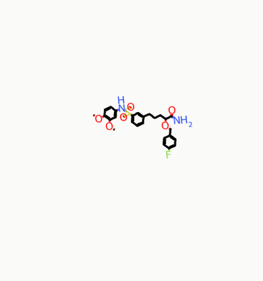 COc1ccc(NS(=O)(=O)c2cccc(CCCC(OCc3ccc(F)cc3)C(N)=O)c2)cc1OC